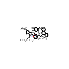 COc1ccc2c(c1)C(Cc1ccc(C)cc1)(Cc1cccc(C)c1)/C(=C\C=C\C1=[N+](CCC(=O)O)c3c(c4ccccc4c4ccccc34)C1(C)C)N2CCC(=O)O